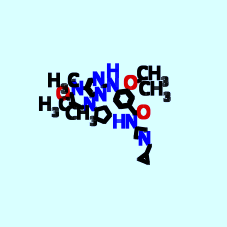 CC(C)Oc1cc(C(=O)NC2CN(CC3CC3)C2)ccc1Nc1ncc2c(n1)N(C1CCCC1)CC(C)(C)C(=O)N2C